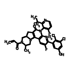 C=CC(=O)N1CC2Cc3c(c4cc(F)c(-c5cc(O)cc(Cl)c5Cl)nc4n(-c4c(C)ccnc4C(C)C)c3=O)N2CC1C